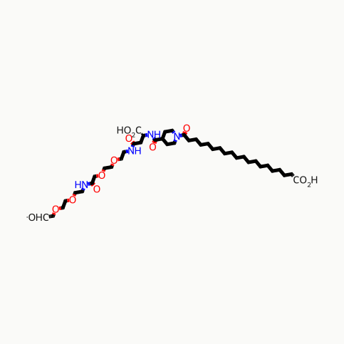 O=[C]COCCOCCNC(=O)COCCOCCNC(=O)C[C@H](NC(=O)C1CCN(C(=O)CCCCCCCCCCCCCCCCCCC(=O)O)CC1)C(=O)O